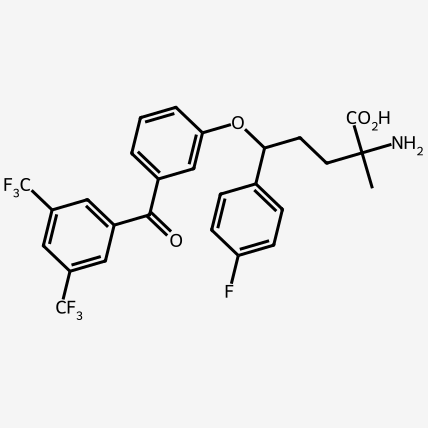 CC(N)(CCC(Oc1cccc(C(=O)c2cc(C(F)(F)F)cc(C(F)(F)F)c2)c1)c1ccc(F)cc1)C(=O)O